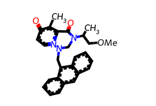 COCC(C)N1CN(Cc2c3ccccc3cc3ccccc23)n2ccc(=O)c(C)c2C1=O